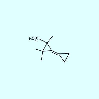 CC1(C)C(=C2CC2)C1(C)C(=O)O